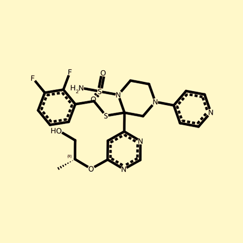 C[C@H](CO)Oc1cc(C2(SCc3cccc(F)c3F)CN(c3ccncc3)CCN2S(N)(=O)=O)ncn1